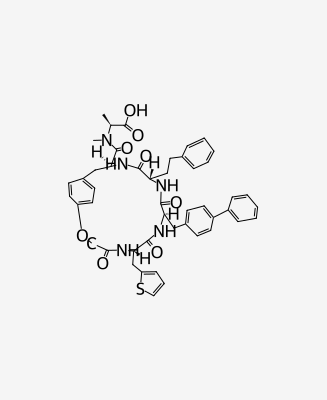 C[C@@H](C(=O)O)N(C)C(=O)[C@@H]1Cc2ccc(cc2)OCC(=O)N[C@@H](Cc2cccs2)C(=O)N[C@H](Cc2ccc(-c3ccccc3)cc2)C(=O)N[C@@H](CCc2ccccc2)C(=O)N1